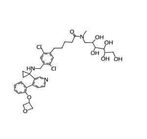 CN(CC(O)C(O)C(O)C(O)CO)C(=O)CCCCc1cc(Cl)c(CNC2(c3cnccc3-c3ccccc3OC3COC3)CC2)cc1Cl